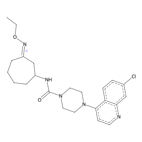 CCO/N=C1\CCCCC(NC(=O)N2CCN(c3ccnc4cc(Cl)ccc34)CC2)C1